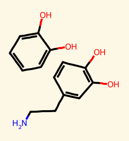 NCCc1ccc(O)c(O)c1.Oc1ccccc1O